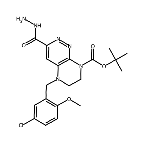 COc1ccc(Cl)cc1CN1CCN(C(=O)OC(C)(C)C)c2nnc(C(=O)NN)cc21